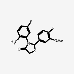 COc1cc(C2SCC(=O)N2c2cc(F)ccc2C)ccc1F